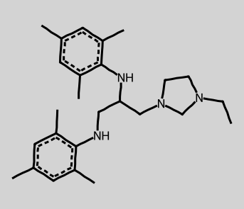 CCN1CCN(CC(CNc2c(C)cc(C)cc2C)Nc2c(C)cc(C)cc2C)C1